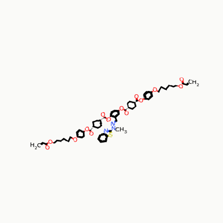 C=CC(=O)OCCCCCCOc1ccc(OC(=O)[C@H]2CC[C@@H](C(=O)Oc3ccc(OC(=O)[C@H]4CC[C@@H](C(=O)Oc5ccc(OCCCCCCOC(=O)C=C)cc5)CC4)c(/C=N/N(C)c4nc5ccccc5s4)c3)CC2)cc1